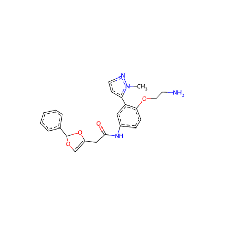 Cn1nccc1-c1cc(NC(=O)CC2=COC(c3ccccc3)O2)ccc1OCCN